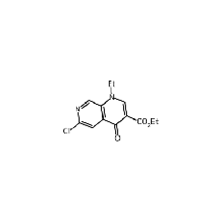 CCOC(=O)c1cn(CC)c2cnc(Cl)cc2c1=O